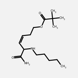 CCCCCNC(/C=C\CCOC(=O)C(C)(C)C)C(N)=O